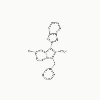 O=C(O)c1c(-n2cc3ccccc3n2)c2cc(Cl)ccc2n1Cc1ccccc1